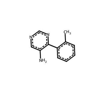 Cc1ccccc1-c1ncncc1N